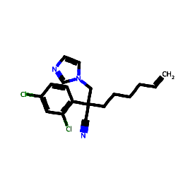 C=CCCCCC(C#N)(Cn1ccnc1)c1ccc(Cl)cc1Cl